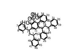 CC(CC(c1ccccc1)c1cc(C(CC(C)c2ccccc2)c2ccccc2)c(-c2ccccc2)c(S(=O)(=O)O)c1O)c1ccccc1